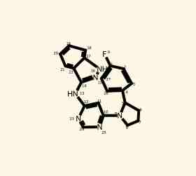 Fc1ccc(C2CCCN2c2cc(Nc3n[nH]c4ccccc34)ncn2)cc1